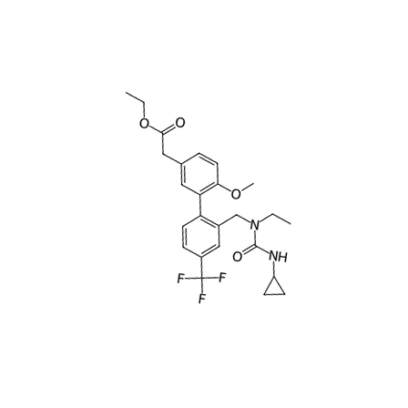 CCOC(=O)Cc1ccc(OC)c(-c2ccc(C(F)(F)F)cc2CN(CC)C(=O)NC2CC2)c1